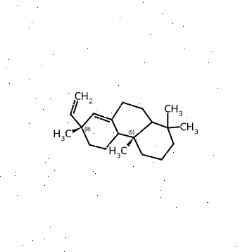 C=C[C@]1(C)C=C2CCC3C(C)(C)CCC[C@]3(C)C2CC1